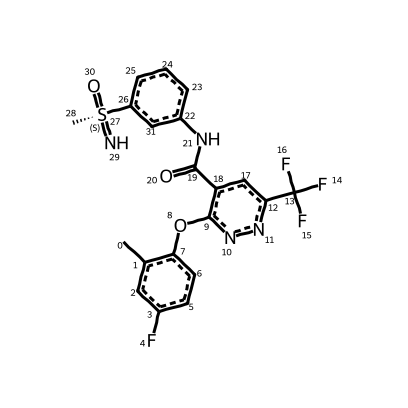 Cc1cc(F)ccc1Oc1nnc(C(F)(F)F)cc1C(=O)Nc1cccc([S@@](C)(=N)=O)c1